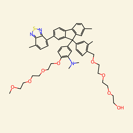 COCCOCCOCCOc1ccc(C2(c3ccc(COCCOCCOCCO)c(C)c3)c3cc(C)ccc3-c3ccc(-c4ccc(C)c5nsnc45)cc32)cc1N(C)C